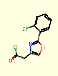 O=C(Cl)Cc1coc(-c2ccccc2Cl)n1